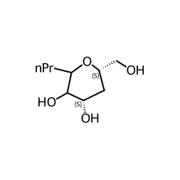 CCCC1O[C@H](CO)C[C@H](O)C1O